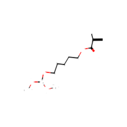 C=C(C)C(=O)OCCCCCO[SiH](OCCC)OCCC